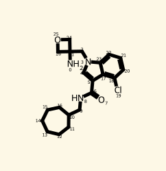 NC1(Cn2cc(C(=O)NCC3CCCCCC3)c3c(Cl)cccc32)COC1